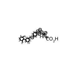 Cc1cccc(C)c1-c1cccc(COc2ccc(OS(=O)(=O)OCC(=O)NCC(=O)O)cc2)c1